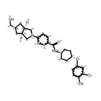 N#Cc1ccc(O[C@H]2CC[C@H](NC(=O)c3ccc(N4C[C@H]5C[C@@H](CO)C[C@H]5C4)nn3)CC2)cc1Cl